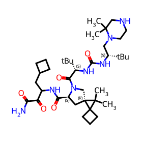 CC(C)(C)[C@H](NC(=O)N[C@H](CN1CCNCC1(C)C)C(C)(C)C)C(=O)N1C[C@]2(C[C@H]1C(=O)NC(CC1CCC1)C(=O)C(N)=O)C(C)(C)C21CCC1